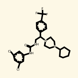 O=C(NCC(c1ccc(C(F)(F)F)cc1)N1CCN(C2CCCCC2)CC1)Nc1cc(Cl)cc(Cl)c1